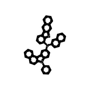 c1ccc(-n2c3ccc(N(c4ccc5ccccc5c4)c4cccc5c4sc4cc6ccccc6cc45)cc3c3c4ccccc4ccc32)cc1